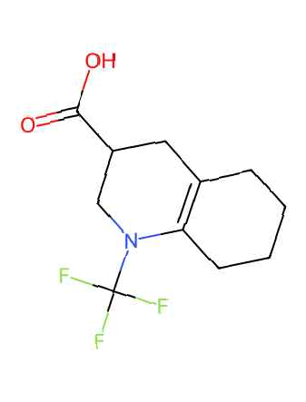 O=C(O)C1CC2=C(CCCC2)N(C(F)(F)F)C1